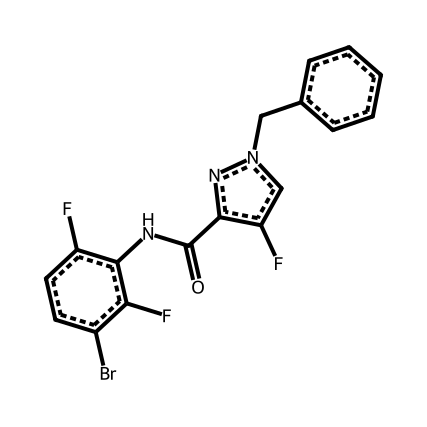 O=C(Nc1c(F)ccc(Br)c1F)c1nn(Cc2ccccc2)cc1F